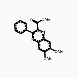 COC(=O)c1nc2cc(OC)c(OC)cc2nc1-c1ccccc1